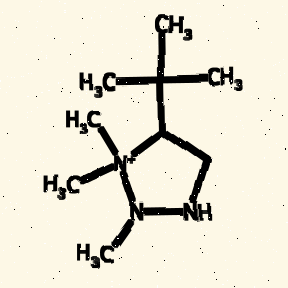 CN1NCC(C(C)(C)C)[N+]1(C)C